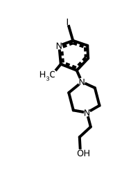 Cc1nc(I)ccc1N1CCN(CCO)CC1